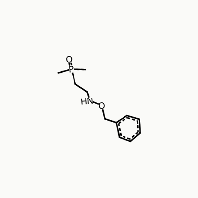 CP(C)(=O)CCNOCc1ccccc1